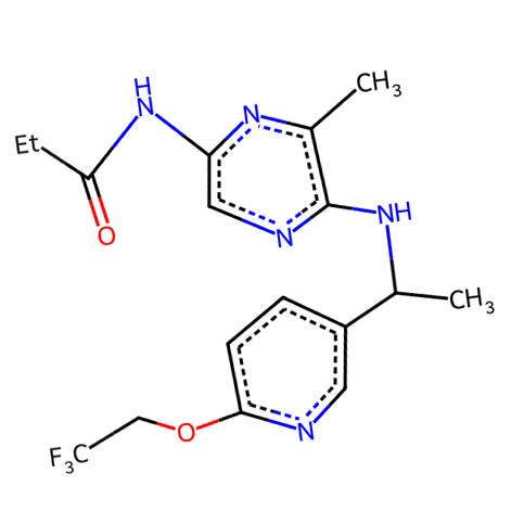 CCC(=O)Nc1cnc(NC(C)c2ccc(OCC(F)(F)F)nc2)c(C)n1